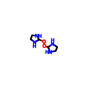 C1CNC(OOC2NCCN2)N1